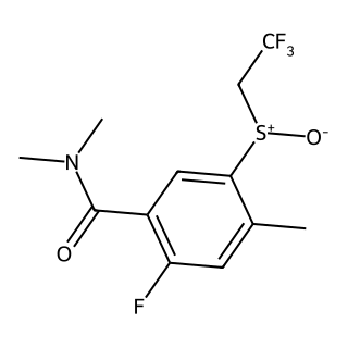 Cc1cc(F)c(C(=O)N(C)C)cc1[S+]([O-])CC(F)(F)F